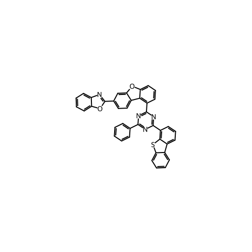 c1ccc(-c2nc(-c3cccc4c3sc3ccccc34)nc(-c3cccc4oc5cc(-c6nc7ccccc7o6)ccc5c34)n2)cc1